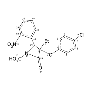 CCC1(Oc2ccc(Cl)cc2)C(=O)N(C(=O)O)C1c1ccccc1[N+](=O)[O-]